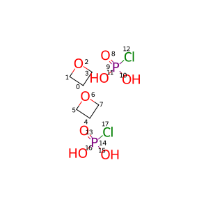 C1COC1.C1COC1.O=P(O)(O)Cl.O=P(O)(O)Cl